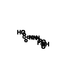 O=C1CCC(c2ccc(CN3CCN(C4CCN(c5ccc(C6c7ccc(O)cc7CCC6c6ccccc6)cc5)CC4)CC3)cc2F)C(=O)N1